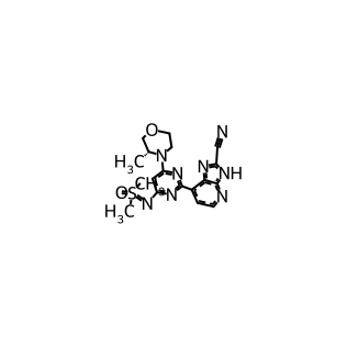 C[C@@H]1COCCN1c1cc(N=S(C)(C)=O)nc(-c2ccnc3[nH]c(C#N)nc23)n1